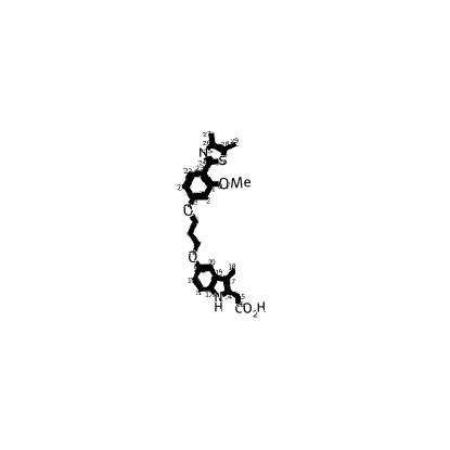 COc1cc(OCCCOc2ccc3[nH]c(CC(=O)O)c(C)c3c2)ccc1-c1nc(C)c(C)s1